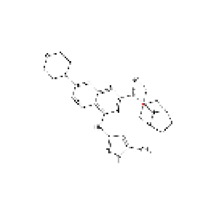 Cc1cc(Nc2nc(NC3CC4CCC(C3)N4CCC#N)nc3cc(N4CCOCC4)ccc23)n[nH]1